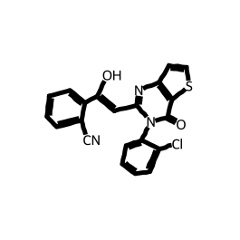 N#Cc1ccccc1C(O)=Cc1nc2ccsc2c(=O)n1-c1ccccc1Cl